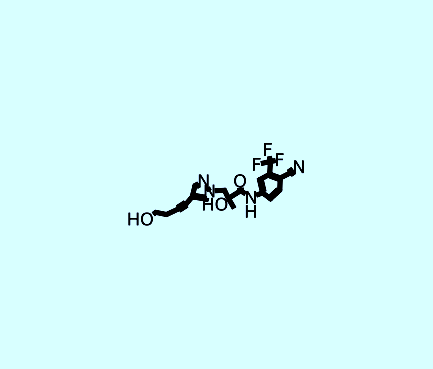 CC(O)(Cn1cc(C#CCCO)cn1)C(=O)Nc1ccc(C#N)c(C(F)(F)F)c1